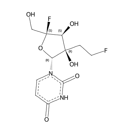 O=c1ccn([C@@H]2O[C@](F)(CO)[C@@H](O)[C@]2(O)CCF)c(=O)[nH]1